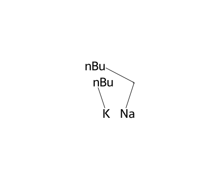 CCCC[CH2][Na].CCC[CH2][K]